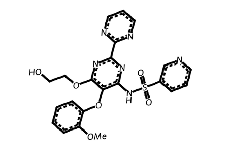 COc1ccccc1Oc1c(NS(=O)(=O)c2cccnc2)nc(-c2ncccn2)nc1OCCO